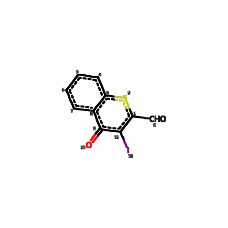 O=Cc1sc2ccccc2c(=O)c1I